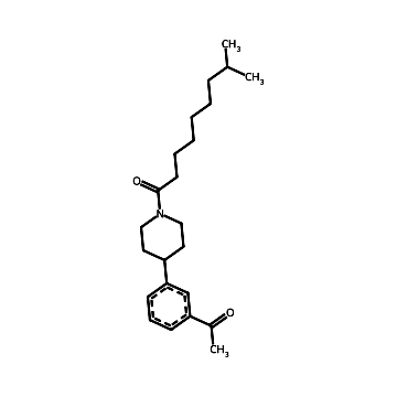 CC(=O)c1cccc(C2CCN(C(=O)CCCCCCC(C)C)CC2)c1